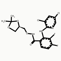 CC1(C)OC[C@H](CONC(=O)c2ccc(F)c(F)c2Nc2ncc(Cl)cc2Cl)O1